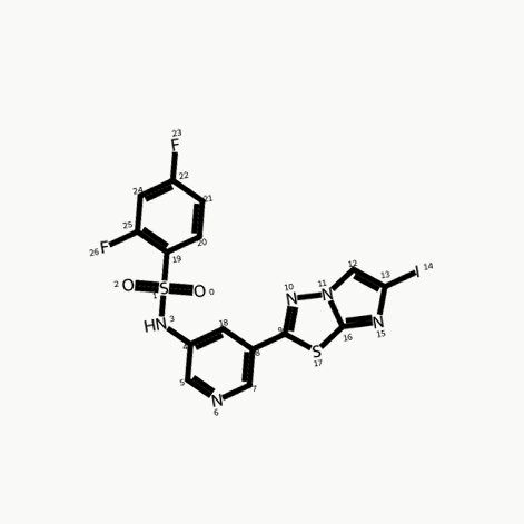 O=S(=O)(Nc1cncc(-c2nn3cc(I)nc3s2)c1)c1ccc(F)cc1F